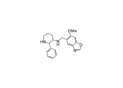 COc1cc2ocnc2cc1CNC1CCCNC1c1ccccc1